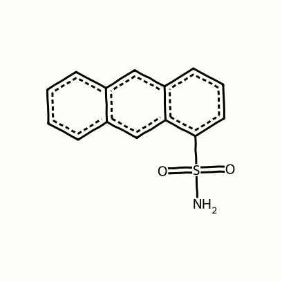 NS(=O)(=O)c1cccc2cc3ccccc3cc12